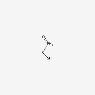 O=[PH2]SS